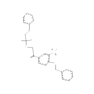 CC(C)(CCc1ccccc1)NCC(=O)c1ccc(OCc2ccccc2)c(S(C)(=O)=O)c1